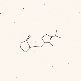 CC(C)N1CCC(CC(C)(C)N2CCCC2=O)C1C